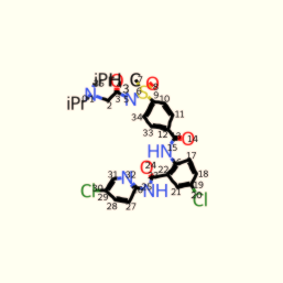 CC(C)N(CC(=O)N=S(C)(=O)c1ccc(C(=O)Nc2ccc(Cl)cc2C(=O)Nc2ccc(Cl)cn2)cc1)C(C)C